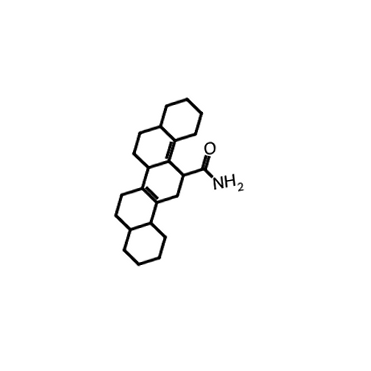 NC(=O)C1CC2=C(CCC3CCCCC23)C2CCC3CCCCC3=C12